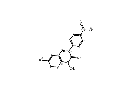 Cn1c(=O)c(-c2ccc([N+](=O)[O-])cc2)cc2cc(Br)ccc21